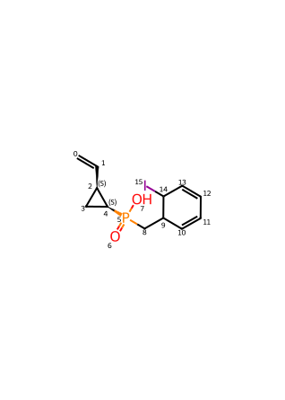 C=C[C@@H]1C[C@@H]1P(=O)(O)CC1C=CC=CC1I